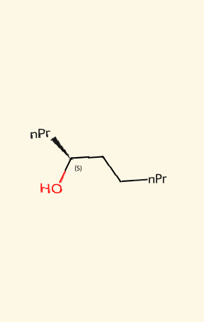 CCCCC[C@@H](O)CCC